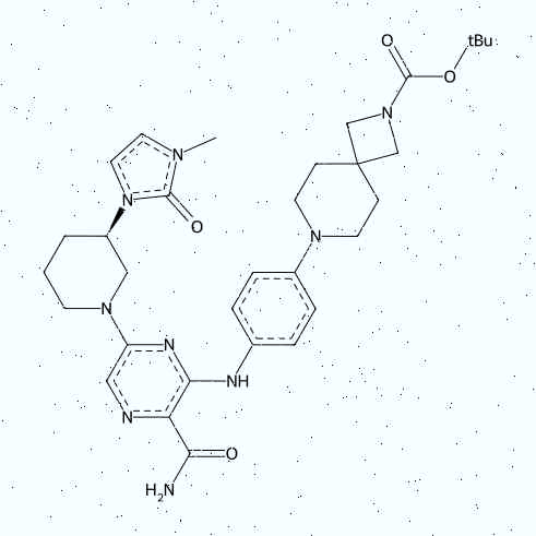 Cn1ccn([C@@H]2CCCN(c3cnc(C(N)=O)c(Nc4ccc(N5CCC6(CC5)CN(C(=O)OC(C)(C)C)C6)cc4)n3)C2)c1=O